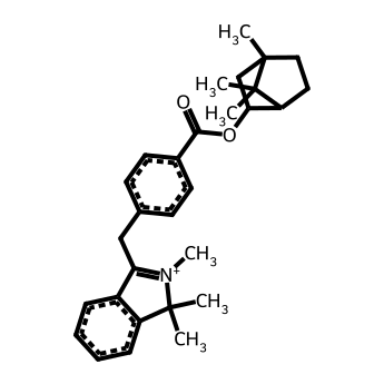 C[N+]1=C(Cc2ccc(C(=O)OC3CC4(C)CCC3C4(C)C)cc2)c2ccccc2C1(C)C